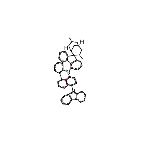 C[C@H]1C[C@@H]2C[C@H](C1)C1(c3ccccc3-c3c(N(c4ccc(-n5c6ccccc6c6ccccc65)cc4)c4ccccc4-c4ccccc4)cccc31)[C@H](C)C2